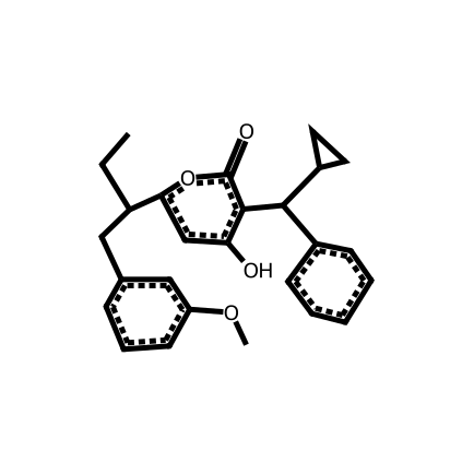 CCC(Cc1cccc(OC)c1)c1cc(O)c(C(c2ccccc2)C2CC2)c(=O)o1